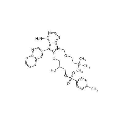 Cc1ccc(S(=O)(=O)OCC(O)COc2c(-c3cnc4ccccc4c3)c3c(N)ncnc3n2COCC[Si](C)(C)C)cc1